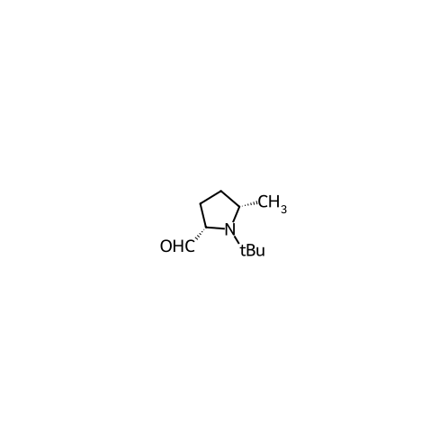 C[C@H]1CC[C@@H](C=O)N1C(C)(C)C